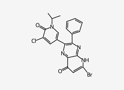 CC(C)n1cc(-c2nc3c(=O)cc(Br)[nH]c3nc2-c2ccccc2)cc(Cl)c1=O